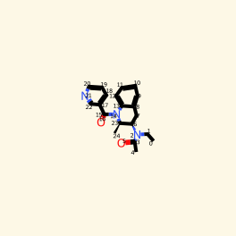 CCN(C(C)=O)[C@@H]1Cc2ccccc2N(C(=O)c2cccnc2)[C@@H]1C